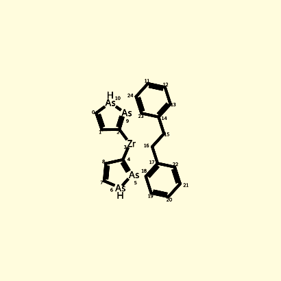 C1=C[C]([Zr][C]2=[As][AsH]C=C2)=[As][AsH]1.c1ccc(CCc2ccccc2)cc1